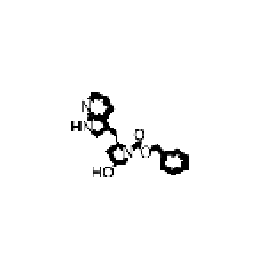 O=C(OCc1ccccc1)N1C[C@H](O)C[C@H]1CC1CNc2ncccc21